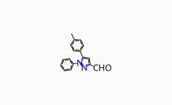 Cc1ccc(-c2cc(C=O)nn2-c2ccccc2)cc1